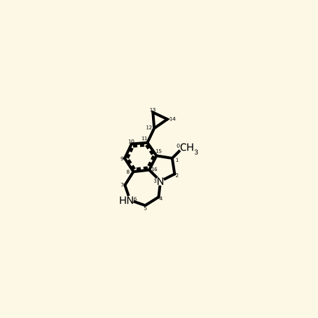 CC1CN2CCNCc3ccc(C4CC4)c1c32